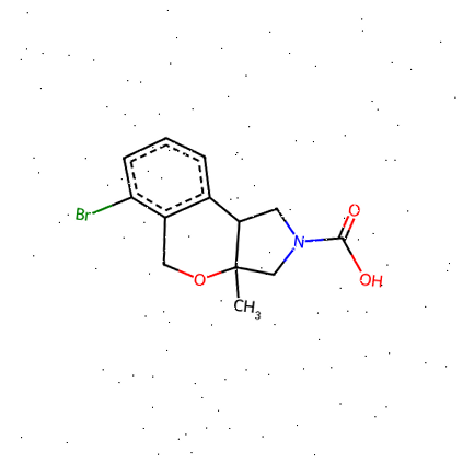 CC12CN(C(=O)O)CC1c1cccc(Br)c1CO2